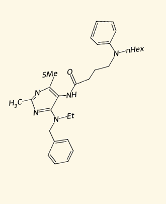 CCCCCCN(CCCC(=O)Nc1c(SC)nc(C)nc1N(CC)Cc1ccccc1)c1ccccc1